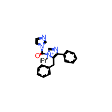 CC(C)[N+]1(C(=O)n2ccnc2)C=NC(c2ccccc2)=C1Cc1ccccc1